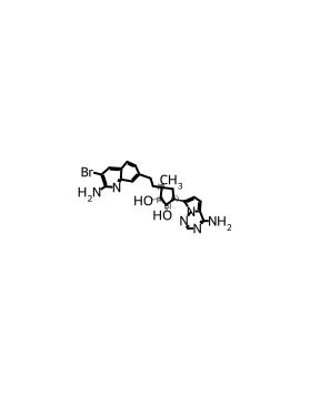 C[C@]1(CCc2ccc3cc(Br)c(N)nc3c2)C[C@@H](c2ccc3c(N)ncnn23)[C@H](O)[C@@H]1O